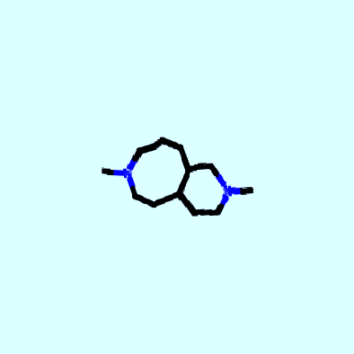 CN1CCCC2CN(C)CCC2CC1